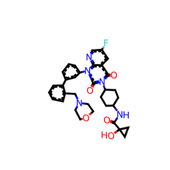 O=C(NC1CCC(n2c(=O)c3cc(F)cnc3n(-c3cccc(-c4ccccc4CN4CCOCC4)c3)c2=O)CC1)C1(O)CC1